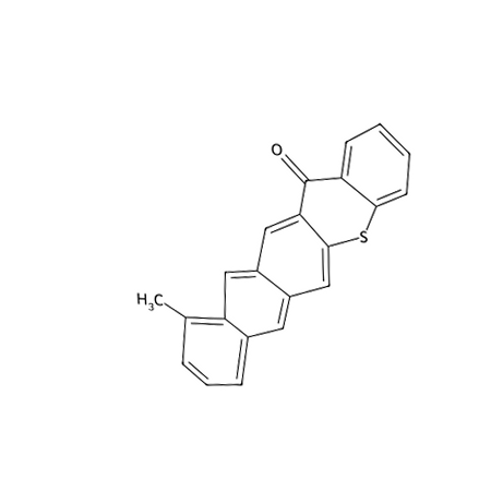 Cc1cccc2cc3cc4sc5ccccc5c(=O)c4cc3cc12